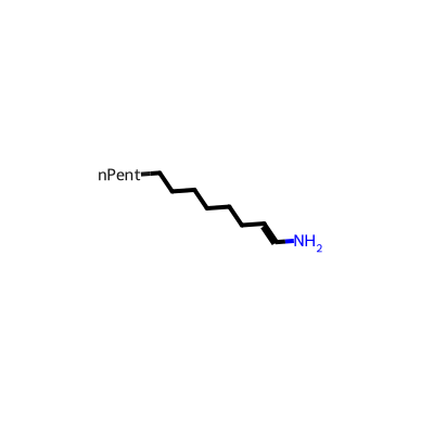 CCCCCCCCCCCC=CN